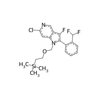 C[Si](C)(C)CCOCn1c(-c2ccccc2C(F)F)c(F)c2cnc(Cl)cc21